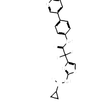 O=C(Nc1ccc(-c2cccnc2)cc1)C(F)(F)c1csc(N[S+]([O-])C2CC2)n1